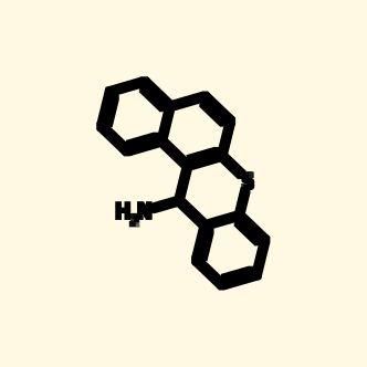 NC1c2ccccc2Sc2ccc3ccccc3c21